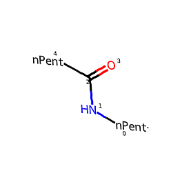 CCCC[CH]NC(=O)CCCCC